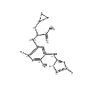 Cc1cc(Nc2cc(NC(CC3CC3)C(N)=O)c(F)cc2C#N)sn1